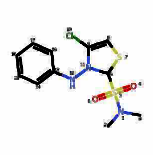 CN(C)S(=O)(=O)C1SC=C(Cl)N1Nc1ccccc1